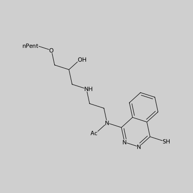 CCCCCOCC(O)CNCCN(C(C)=O)c1nnc(S)c2ccccc12